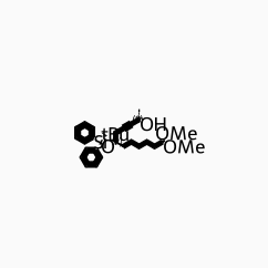 COC(CCCCC[C@H](CC#C[C@H](C)O)O[Si](c1ccccc1)(c1ccccc1)C(C)(C)C)OC